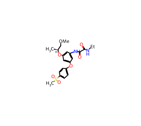 CCNC(=O)C(=O)Nc1cc(Oc2ccc(S(C)(=O)=O)cc2)cc(O[C@@H](C)COC)c1